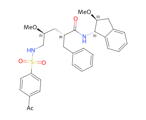 CO[C@H](CNS(=O)(=O)c1ccc(C(C)=O)cc1)C[C@@H](Cc1ccccc1)C(=O)N[C@H]1c2ccccc2C[C@@H]1OC